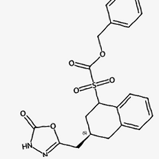 O=C(OCc1ccccc1)S(=O)(=O)C1C[C@H](Cc2n[nH]c(=O)o2)Cc2ccccc21